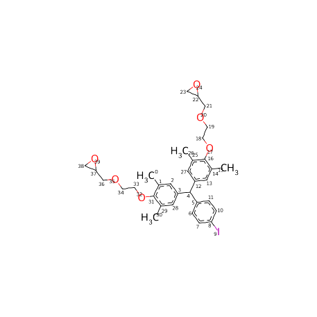 Cc1cc(C(c2ccc(I)cc2)c2cc(C)c(OCCOCC3CO3)c(C)c2)cc(C)c1OCCOCC1CO1